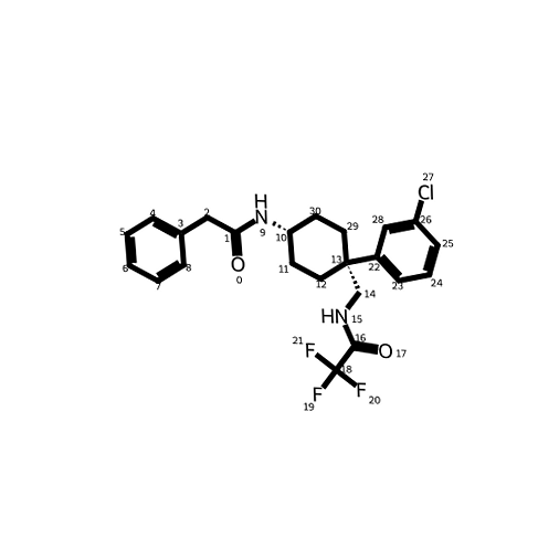 O=C(Cc1ccccc1)N[C@H]1CC[C@](CNC(=O)C(F)(F)F)(c2cccc(Cl)c2)CC1